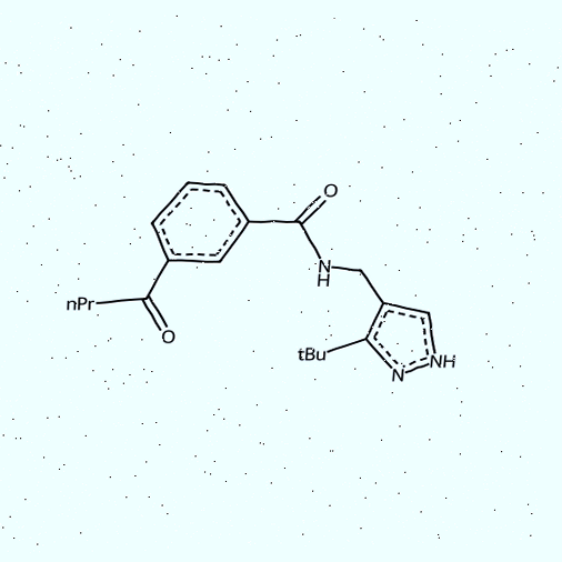 CCCC(=O)c1cccc(C(=O)NCc2c[nH]nc2C(C)(C)C)c1